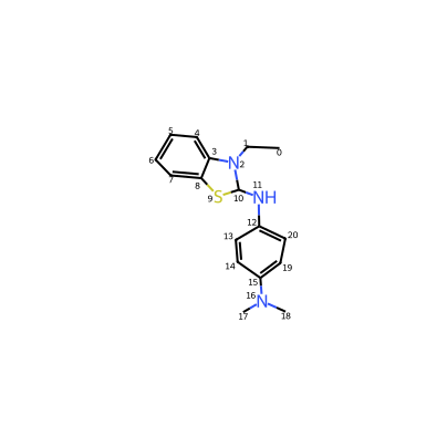 CCN1c2ccccc2SC1Nc1ccc(N(C)C)cc1